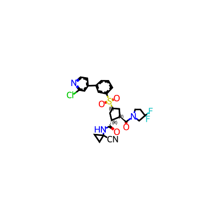 N#CC1(NC(=O)[C@@H]2C[C@@H](S(=O)(=O)c3cccc(-c4ccnc(Cl)c4)c3)C[C@H]2C(=O)N2CCC(F)(F)C2)CC1